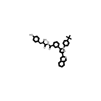 CC(C)(C)c1ccc(-n2nc(-c3cc4ccccc4cn3)cc2-c2cccc(C(=O)NC(=O)C(N)Cc3ccc(O)cc3)c2)cc1